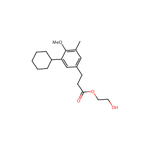 COc1c(C)cc(CCC(=O)OCCO)cc1C1CCCCC1